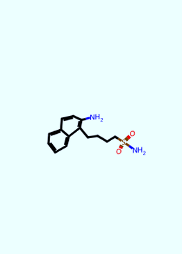 Nc1ccc2ccccc2c1CCCCS(N)(=O)=O